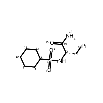 CC(C)C[C@H](NS(=O)(=O)C1CCCCC1)C(N)=O